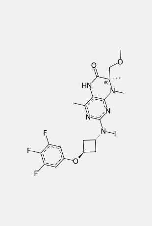 COC[C@]1(C)C(=O)Nc2c(C)nc(N(I)[C@H]3C[C@H](Oc4cc(F)c(F)c(F)c4)C3)nc2N1C